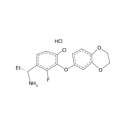 CC[C@@H](N)c1ccc(Cl)c(Oc2ccc3c(c2)OCCO3)c1F.Cl